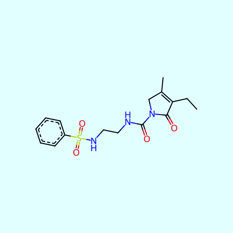 CCC1=C(C)CN(C(=O)NCCNS(=O)(=O)c2ccccc2)C1=O